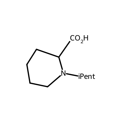 CCCC(C)N1CCCCC1C(=O)O